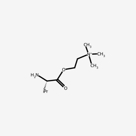 CC(C)[C@H](N)C(=O)OCC[N+](C)(C)C